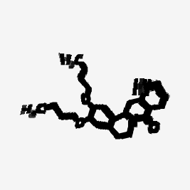 CCCCOc1cc2c(cc1OCCCC)C1CC3=C(CCCN3)C(=O)N1CC2